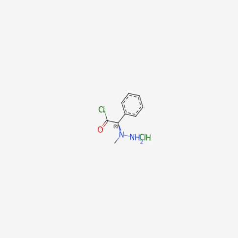 CN(N)[C@@H](C(=O)Cl)c1ccccc1.Cl